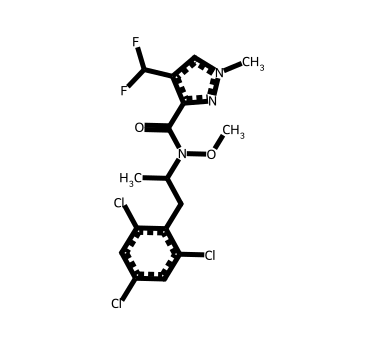 CON(C(=O)c1nn(C)cc1C(F)F)C(C)Cc1c(Cl)cc(Cl)cc1Cl